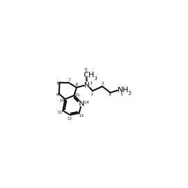 CN(CCCN)C1CCCc2cccnc21